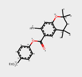 CCCc1cc2c(cc1C(=O)Oc1ccc(C(=O)OCC)cc1)C(C)(C)CC(C)(C)O2